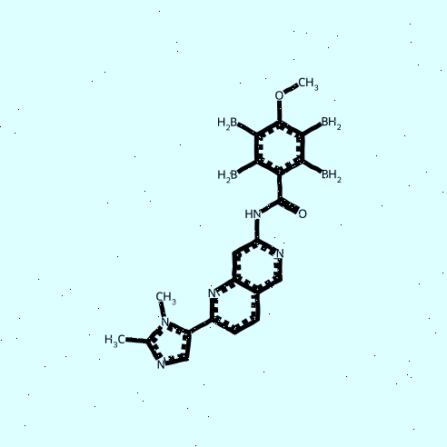 Bc1c(B)c(C(=O)Nc2cc3nc(-c4cnc(C)n4C)ccc3cn2)c(B)c(B)c1OC